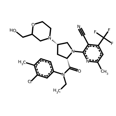 CCN(C(=O)[C@@H]1C[C@H](N2CCOC(CO)C2)CN1c1nc(C)cc(C(F)(F)F)c1C#N)c1ccc(C)c(Cl)c1